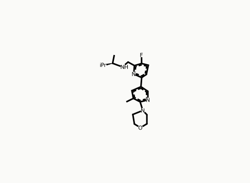 Cc1cc(-c2ccc(F)c(CN[C@H](C)C(C)C)n2)cnc1N1CCOCC1